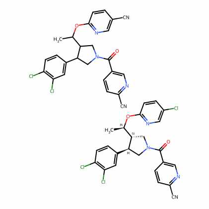 CC(Oc1ccc(C#N)cn1)C1CN(C(=O)c2ccc(C#N)nc2)CC1c1ccc(Cl)c(Cl)c1.C[C@@H](Oc1ccc(Cl)cn1)[C@@H]1CN(C(=O)c2ccc(C#N)nc2)C[C@H]1c1ccc(Cl)c(Cl)c1